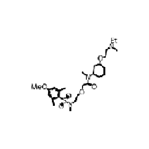 CCN(C)CCO[C@H]1CCC[C@@H](N(C)C(=O)COCCN(C)S(=O)(=O)c2c(C)cc(OC)cc2C)C1